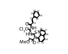 COCC(=O)N(C(=S)NC(NC(=O)/C=C/c1ccccc1)C(Cl)(Cl)Cl)c1cccc2cccnc12